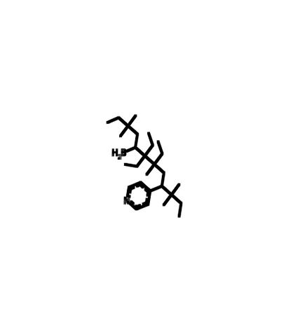 BC(CC(C)(C)CC)C(CC)(CC)C(C)(CC)CC(c1ccncc1)C(C)(C)CC